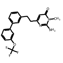 Cn1c(N)nc(CCc2cccc(-c3cccc(OC(F)(F)F)c3)c2)cc1=O